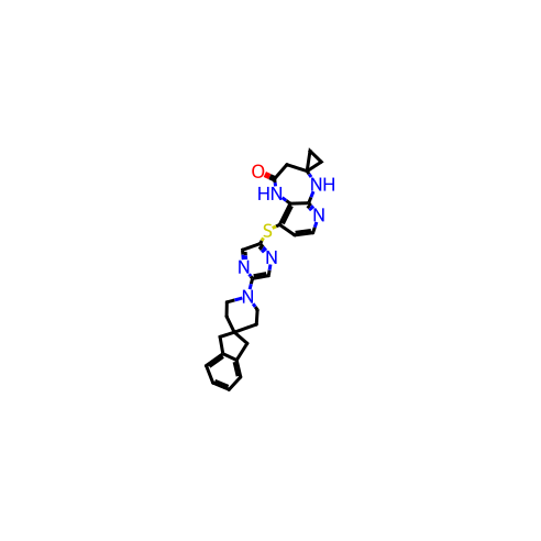 O=C1CC2(CC2)Nc2nccc(Sc3cnc(N4CCC5(CC4)Cc4ccccc4C5)cn3)c2N1